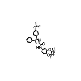 O=C(Nc1ccc2c(c1)OC(F)(Cl)C(F)(F)O2)N1CC(c2ccccc2)C(c2ccc(OC(F)F)cc2)=N1